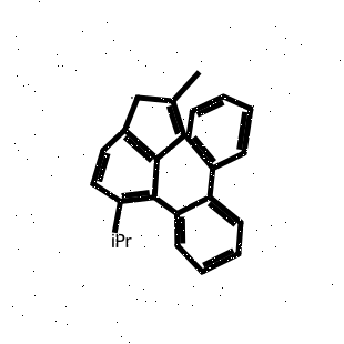 CC1=Cc2c(ccc(C(C)C)c2-c2ccccc2-c2ccccc2)[CH]1